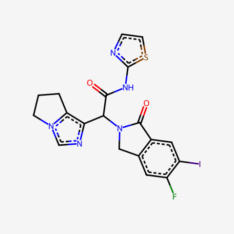 O=C(Nc1nccs1)C(c1ncn2c1CCC2)N1Cc2cc(F)c(I)cc2C1=O